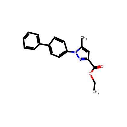 CCOC(=O)c1cc(C)n(-c2ccc(-c3ccccc3)cc2)n1